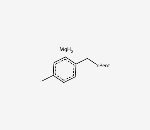 [CH2]c1ccc(CCCCCC)cc1.[MgH2]